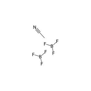 CC#N.FB(F)F.FB(F)F